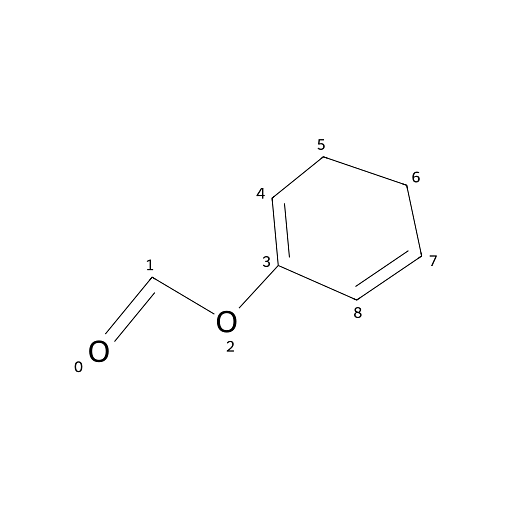 O=COC1=CCCC=C1